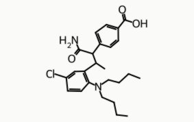 CCCCN(CCCC)c1ccc(Cl)cc1C(C)C(C(N)=O)c1ccc(C(=O)O)cc1